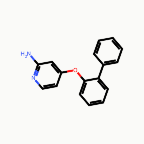 Nc1cc(Oc2ccccc2-c2ccccc2)ccn1